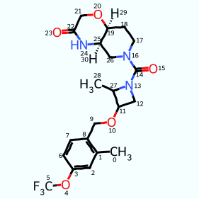 Cc1cc(OC(F)(F)F)ccc1COC1CN(C(=O)N2CC[C@@H]3OCC(=O)N[C@@H]3C2)C1C